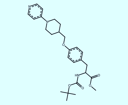 COC(=O)C(Cc1ccc(OCC2CCN(c3ccncc3)CC2)cc1)NC(=O)OC(C)(C)C